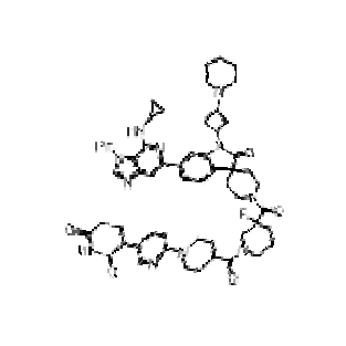 CC(C)n1cnc2cc(-c3ccc4c(c3)N([C@H]3C[C@@H](N5CCCCC5)C3)C(=O)C43CCN(C(=O)C4(F)CCCN(C(=O)C5CCN(c6ccc(C7CCC(=O)NC7=O)cn6)CC5)C4)CC3)nc(NC3CC3)c21